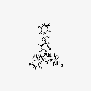 NC(=O)[C@H]1Cc2c([nH]c3ccccc23)[C@H](c2ccc(OCc3ccccc3)cc2)N1